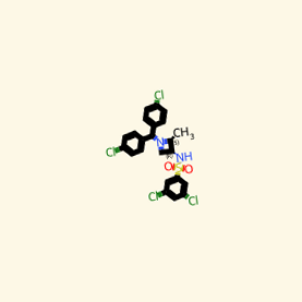 C[C@H]1[C@H](NS(=O)(=O)c2cc(Cl)cc(Cl)c2)CN1C(c1ccc(Cl)cc1)c1ccc(Cl)cc1